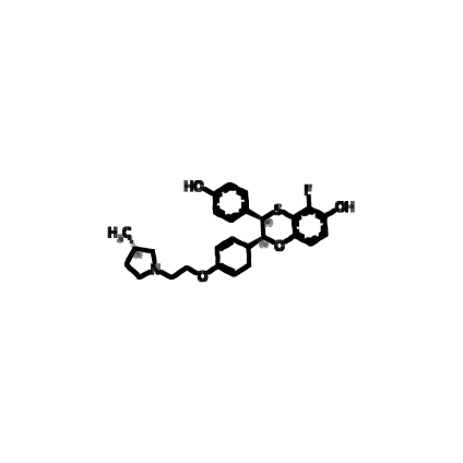 C[C@H]1CCN(CCOC2=CCC([C@@H]3Oc4ccc(O)c(F)c4S[C@@H]3c3ccc(O)cc3)C=C2)C1